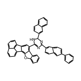 c1ccc(-c2ccc3cc(C4=NC(c5ccc6ccccc6c5)NC(c5cc6c(c7oc8ccccc8c57)-c5cccc7cccc-6c57)=N4)ccc3c2)cc1